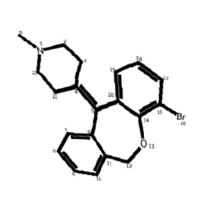 CN1CCC(=C2c3ccccc3COc3c(Br)cccc32)CC1